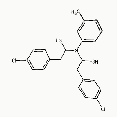 Cc1cccc(N(C(S)Cc2ccc(Cl)cc2)C(S)Cc2ccc(Cl)cc2)c1